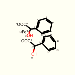 O=C([O-])C(O)c1ccccc1.O=C([O-])C(O)c1ccccc1.[Fe+2]